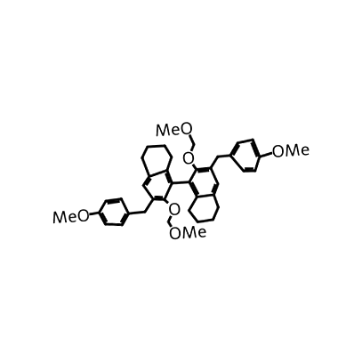 COCOc1c(Cc2ccc(OC)cc2)cc2c(c1-c1c3c(cc(Cc4ccc(OC)cc4)c1OCOC)CCCC3)CCCC2